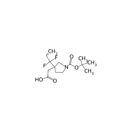 C=CC(F)(F)C1(CC(=O)O)CCN(C(=O)OC(C)(C)C)C1